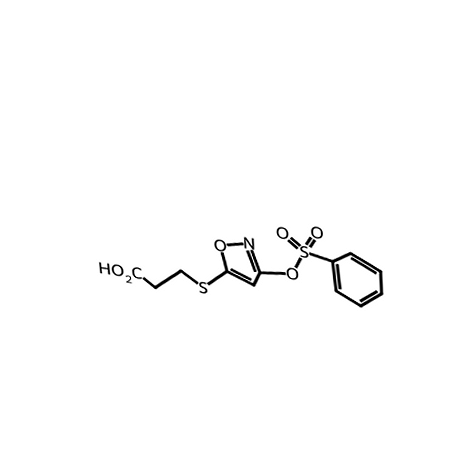 O=C(O)CCSc1cc(OS(=O)(=O)c2ccccc2)no1